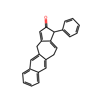 O=C1C=C2Cc3cc4ccccc4cc3CC=C2C1c1ccccc1